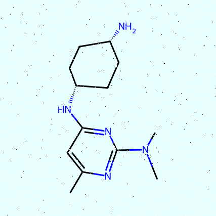 Cc1cc(N[C@H]2CC[C@@H](N)CC2)nc(N(C)C)n1